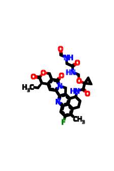 CC[C@H]1C(=O)OCc2c1cc1n(c2=O)Cc2c-1nc1cc(F)c(C)c3c1c2C(NC(=O)C1(OCNC(=O)CNC=O)CC1)CC3